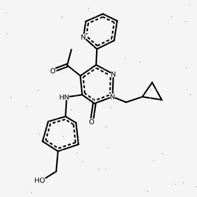 CC(=O)c1c(-c2ccccn2)nn(CC2CC2)c(=O)c1Nc1ccc(CO)cc1